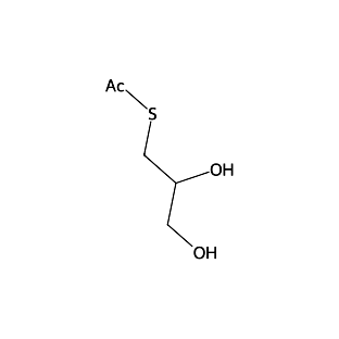 CC(=O)SCC(O)CO